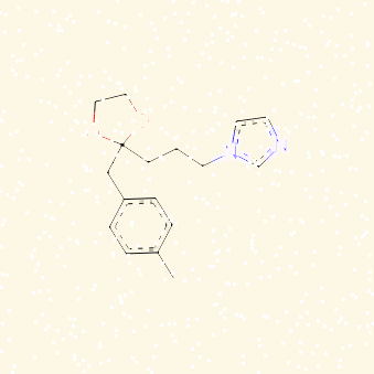 Cc1ccc(CC2(CCCn3ccnc3)OCCO2)cc1